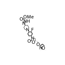 COC(=O)NN=C1CCN(c2ccc(N3C[C@H](COc4ccon4)OC3=O)cc2F)CC1